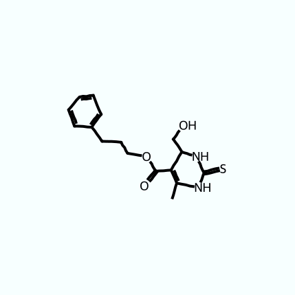 CC1=C(C(=O)OCCCc2ccccc2)C(CO)NC(=S)N1